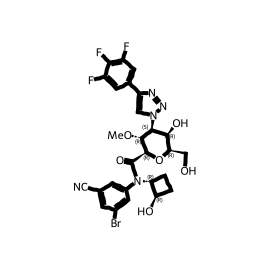 CO[C@@H]1[C@@H](n2cc(-c3cc(F)c(F)c(F)c3)nn2)[C@@H](O)[C@@H](CO)O[C@H]1C(=O)N(c1cc(Br)cc(C#N)c1)[C@@H]1CC[C@H]1O